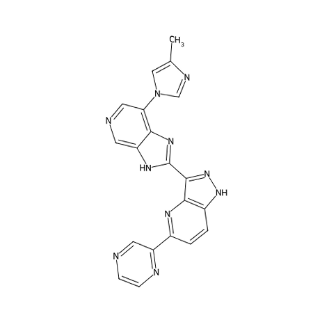 Cc1cn(-c2cncc3[nH]c(-c4n[nH]c5ccc(-c6cnccn6)nc45)nc23)cn1